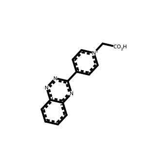 O=C(O)C[n+]1ccc(-c2nnc3ccccc3n2)cc1